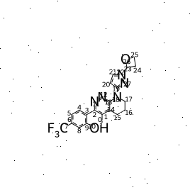 Cc1c(-c2ccc(C(F)(F)F)cc2O)nnc2c1CCCN2c1ccn(C2CCO2)n1